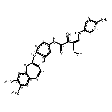 CCO/C(=C/Nc1cnc(N)nc1)C(=N)C(=O)Nc1ccc(OC2=CC=Nc3cc(OC)c(OC)cc3C2)c(C)c1